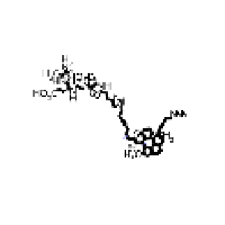 C=C(C#CCCN=[N+]=[N-])[C@H]1C=CC2=C(C1)/C(=C1\c3c(ccc4ccccc34)CC1C)C(CC)=C(/C=C\CC#CCCn1cc(CCC(=O)N[C@@H](CC(=O)O)C(=O)NCC(=O)N[C@@H](CCC(=O)O)C(=O)N[C@@H](C)C(N)=O)nn1)S2